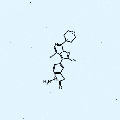 CC(C)c1nn2c(N3CCOCC3)ncc(F)c2c1-c1ccc2c(c1)CC(=O)N2N